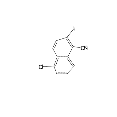 N#Cc1c(I)ccc2c(Cl)cccc12